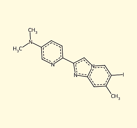 Cc1cc2nc(-c3ccc(N(C)C)cn3)cn2cc1I